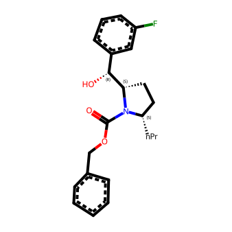 CCC[C@H]1CC[C@@H]([C@H](O)c2cccc(F)c2)N1C(=O)OCc1ccccc1